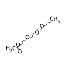 CCCCOCCOCCOCCCOC(C)=O